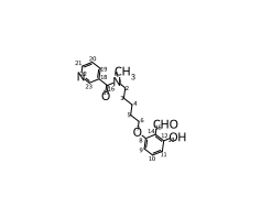 CN(CCCCCOc1cccc(O)c1C=O)C(=O)c1cccnc1